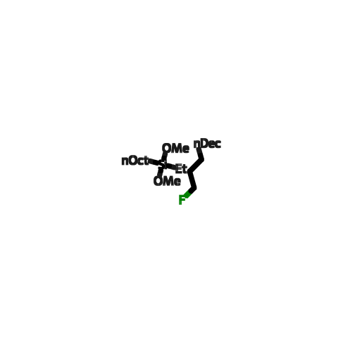 CCCCCCCCCCCCCF.CCCCCCCC[Si](CC)(OC)OC